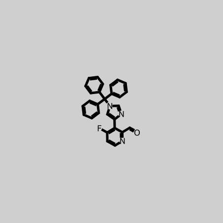 O=Cc1nccc(F)c1-c1cn(C(c2ccccc2)(c2ccccc2)c2ccccc2)cn1